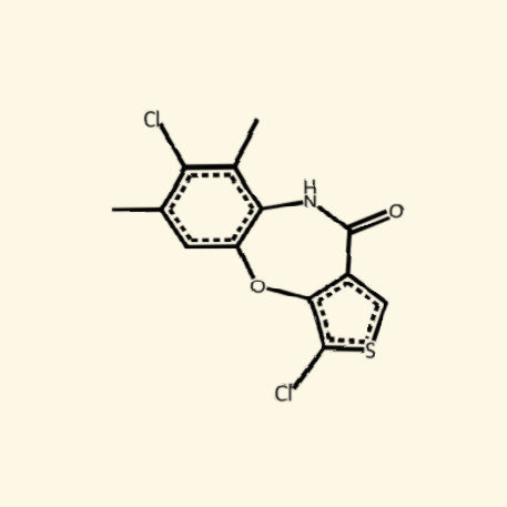 Cc1cc2c(c(C)c1Cl)NC(=O)c1csc(Cl)c1O2